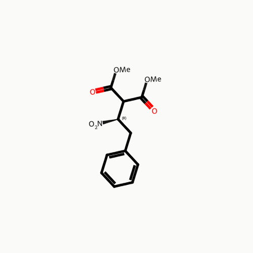 COC(=O)C(C(=O)OC)[C@@H](Cc1ccccc1)[N+](=O)[O-]